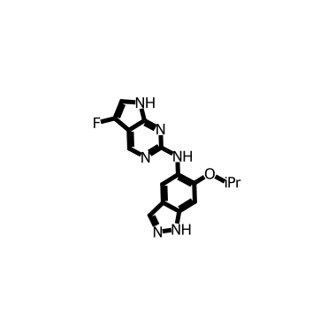 CC(C)Oc1cc2[nH]ncc2cc1Nc1ncc2c(F)c[nH]c2n1